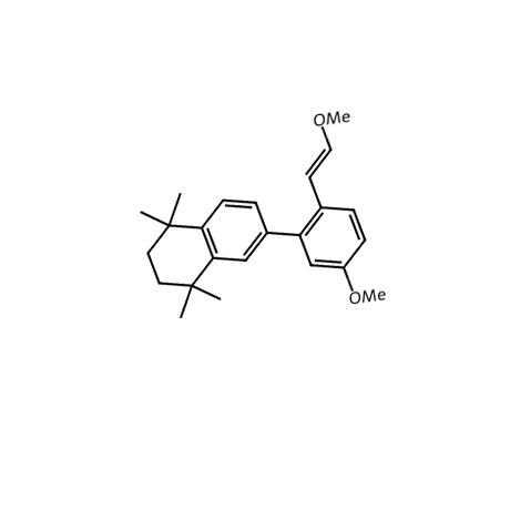 COC=Cc1ccc(OC)cc1-c1ccc2c(c1)C(C)(C)CCC2(C)C